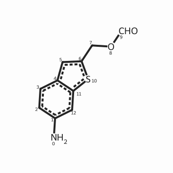 Nc1ccc2cc(COC=O)sc2c1